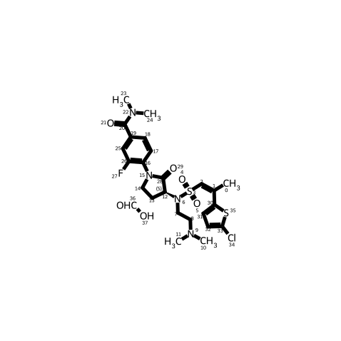 CC(=CS(=O)(=O)N(CCN(C)C)[C@H]1CCN(c2ccc(C(=O)N(C)C)cc2F)C1=O)c1ccc(Cl)s1.O=CO